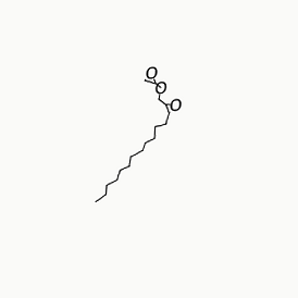 CCCCCCCCCCCCC1OC1COC1CO1